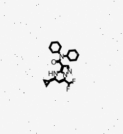 O=C(c1cnn2c1NC(=C1CC1)C=C2C(F)F)N(C1CCCCC1)C1CCCCC1